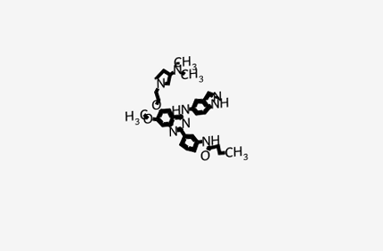 CCCC(=O)Nc1cccc(-c2nc(Nc3ccc4[nH]ncc4c3)c3cc(OCCN4CCC(N(C)C)C4)c(OC)cc3n2)c1